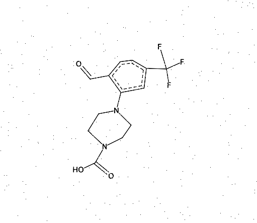 O=Cc1ccc(C(F)(F)F)cc1N1CCN(C(=O)O)CC1